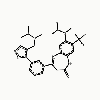 CC(C)N(C)Cc1cnnn1-c1cccc(C2=Nc3cc(N(C)C(C)C)c(C(F)(F)F)cc3NC(=O)C2)c1